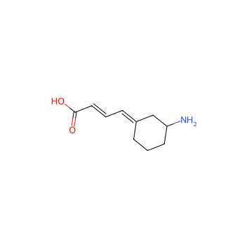 NC1CCC/C(=C\C=C\C(=O)O)C1